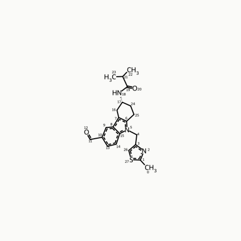 Cc1nc(Cn2c3c(c4cc(C=O)ccc42)C[C@H](NC(=O)C(C)C)CC3)cs1